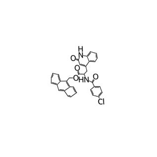 O=C(NC(Cc1cc(=O)[nH]c2ccccc12)C(=O)OCc1c2ccccc2cc2ccccc12)c1ccc(Cl)cc1